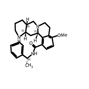 COc1ccc(C(=O)N[C@H](C)c2ccccc2)c2c1CCN1C[C@H]3CCCN[C@H]3C[C@@H]21